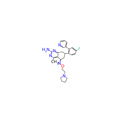 Cc1nc(N)nc2c1/C(=N/OCCN1CCCC1)CC(c1ccc(F)cc1-c1cccnc1)C2